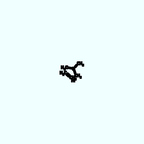 C=C.CN(C)C.I